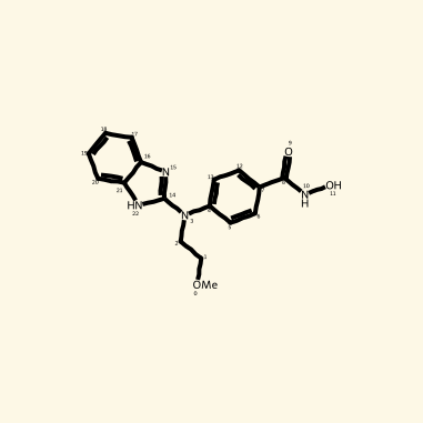 COCCN(c1ccc(C(=O)NO)cc1)c1nc2ccccc2[nH]1